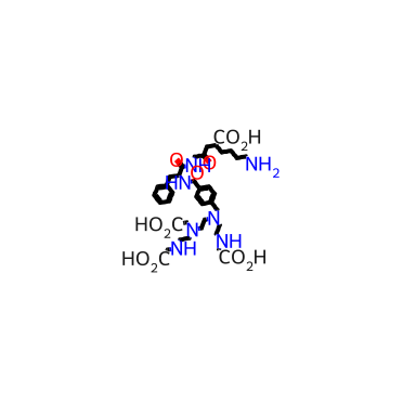 NCCCCC(CC(=O)CNC(=O)C(Cc1ccccc1)NC(=O)c1ccc(CN(CCNCC(=O)O)CCN(CCNCC(=O)O)CC(=O)O)cc1)C(=O)O